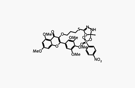 COc1cc(OC)c2c(=O)c(OCCCSC3=NNC(C)(OS(=O)(=O)c4ccc([N+](=O)[O-])cc4)O3)c(-c3cc(OC)c(OC)c(OC)c3)oc2c1